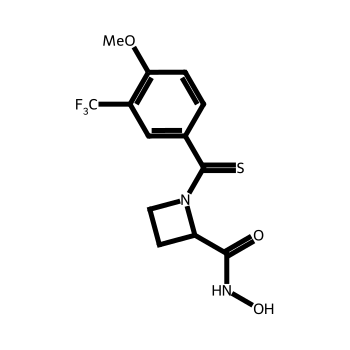 COc1ccc(C(=S)N2CCC2C(=O)NO)cc1C(F)(F)F